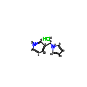 Cl.c1cncc(Cn2cccc2)c1